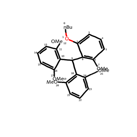 CCCCOc1cccc(OC)c1C(c1c(OC)cccc1OC)c1c(OC)cccc1OC